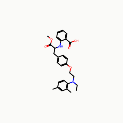 CCN(CCOc1ccc(CC(Nc2ccccc2C(=O)O)C(=O)OC)cc1)c1ccc(C)cc1C